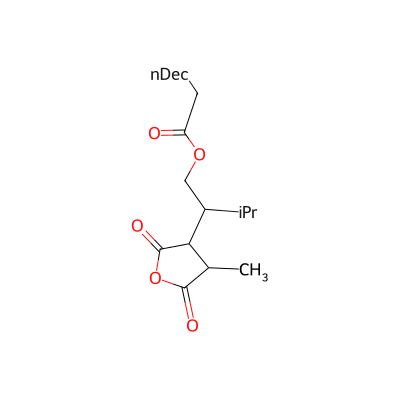 CCCCCCCCCCCC(=O)OCC(C(C)C)C1C(=O)OC(=O)C1C